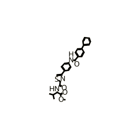 COC(=O)C(NC(=O)c1nc(-c2ccc(NC(=O)c3ccc(-c4ccccc4)cc3)cc2)cs1)C(C)C